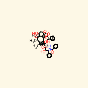 CC(=O)O[C@@]12COC1C[C@H](O)[C@@]1(C)C(=O)[C@H](C)C3=C(C)[C@@H](OC(=O)[C@H](O)[C@@H](NC(=O)c4ccccc4)c4ccccc4)C[C@@](O)([C@@H](OC(=O)c4ccccc4)[C@@H]12)C3(C)C